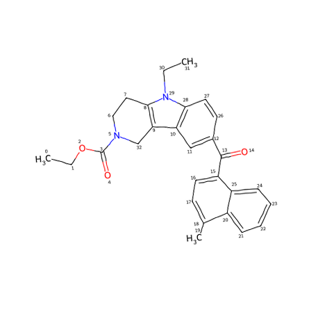 CCOC(=O)N1CCc2c(c3cc(C(=O)c4ccc(C)c5ccccc45)ccc3n2CC)C1